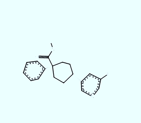 O=C(NO)[C@]1(c2ccccc2)CC[C@@H](c2cncc(F)c2)CC1